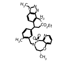 CCOC(=O)CC(c1ccc(C)c(CN2C[C@@H](C)Oc3cccnc3S2(=O)=O)c1)c1ccc2c(nnn2C)c1C